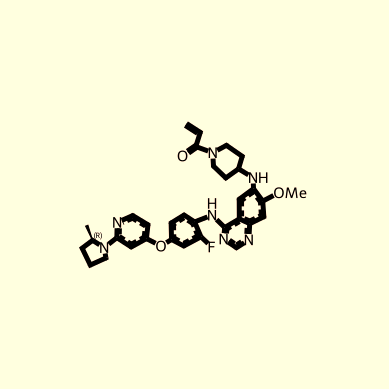 C=CC(=O)N1CCC(Nc2cc3c(Nc4ccc(Oc5ccnc(N6CCC[C@H]6C)c5)cc4F)ncnc3cc2OC)CC1